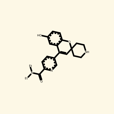 CCN(CC)C(=O)c1ccc(C2=CC3(CCNCC3)Oc3ccc(O)cc32)cn1